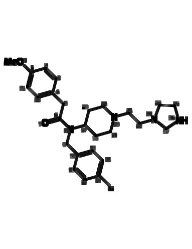 COc1ccc(CC(=O)N(Cc2ccc(C)cc2)C2CCN(CCN3CCNC3)CC2)cc1